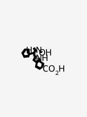 C=CC(c1ccccc1)c1cc2ccc(C(=O)O)cc2[nH]1.NO